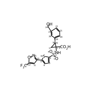 O=C(O)C1(NS(=O)(=O)c2ccc(-c3cc(C(F)(F)F)on3)s2)C[C@H]1c1cccc(CO)c1